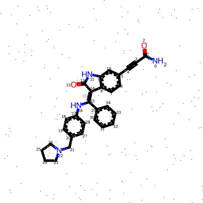 NC(=O)C#Cc1ccc2c(c1)NC(=O)/C2=C(\Nc1ccc(CN2CCCC2)cc1)c1ccccc1